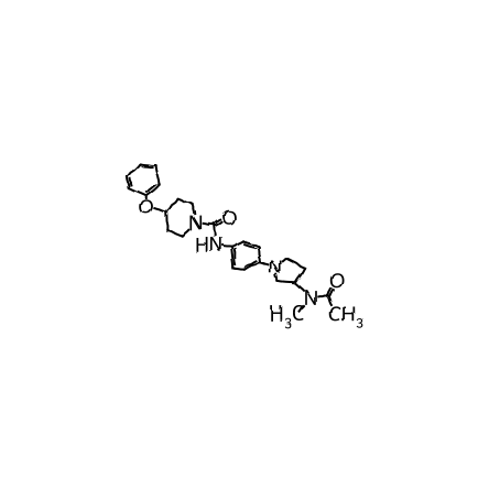 CC(=O)N(C)C1CCN(c2ccc(NC(=O)N3CCC(Oc4ccccc4)CC3)cc2)C1